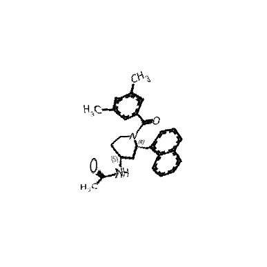 CC(=O)N[C@H]1CCN(C(=O)c2cc(C)cc(C)c2)[C@@H](c2cccc3ccccc23)C1